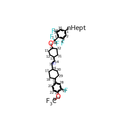 CCCCCCCc1cc(F)c(C(F)(F)OC2CCC(/C=C/C3CCC(c4ccc(OC(F)(F)F)c(F)c4)CC3)CC2)c(F)c1